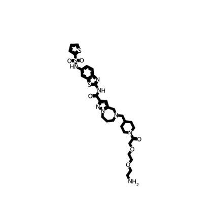 NCCOCCOCC(=O)N1CCC(CN2CCCn3nc(C(=O)Nc4nc5ccc(NS(=O)(=O)c6cccs6)cc5s4)cc3C2)CC1